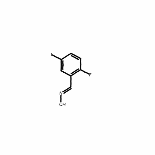 ON=Cc1cc(I)ccc1F